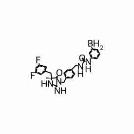 Bc1cccc(NC(=O)NCc2ccc(CN3C(=N)N[C@](C)(Cc4cc(F)cc(F)c4)C3=O)cc2)c1